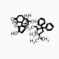 CCC(=O)C(CC(C)N(C)C)(c1ccccc1)c1ccccc1.CN1CC[C@]23c4c5ccc(O)c4O[C@H]2C(=O)CC[C@H]3[C@H]1C5